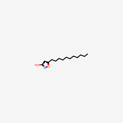 CCCCCCCCCCCc1cc(O)no1